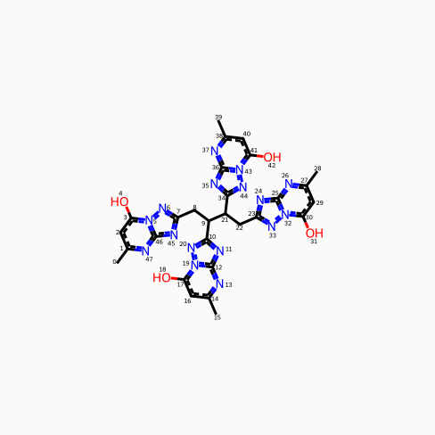 Cc1cc(O)n2nc(CC(c3nc4nc(C)cc(O)n4n3)C(Cc3nc4nc(C)cc(O)n4n3)c3nc4nc(C)cc(O)n4n3)nc2n1